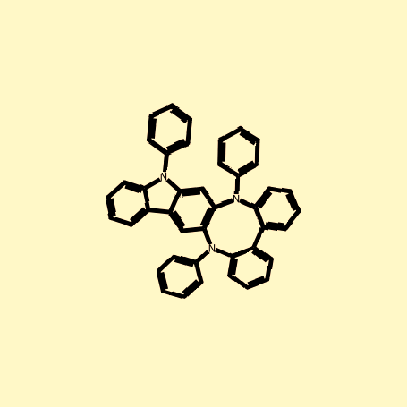 c1ccc(-n2c3ccccc3c3cc4c(cc32)n(-c2ccccc2)c2ccccc2c2ccccc2n4-c2ccccc2)cc1